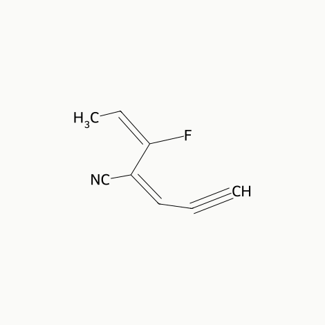 C#C/C=C(C#N)\C(F)=C/C